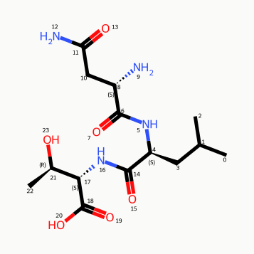 CC(C)C[C@H](NC(=O)[C@@H](N)CC(N)=O)C(=O)N[C@H](C(=O)O)[C@@H](C)O